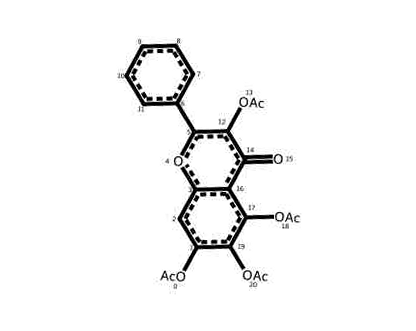 CC(=O)Oc1cc2oc(-c3ccccc3)c(OC(C)=O)c(=O)c2c(OC(C)=O)c1OC(C)=O